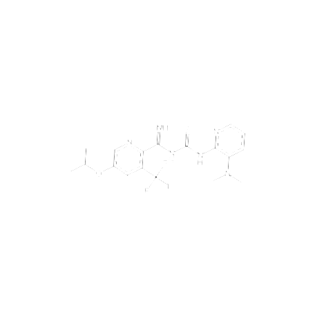 CC(C)Oc1cnc(C(=N)NC(=S)Nc2ncccc2N(C)C)c(C(F)(F)F)c1